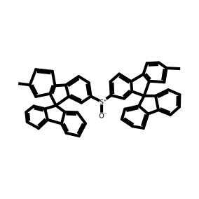 Cc1ccc2c(c1)C1(c3ccccc3-c3ccccc31)c1cc([S+]([O-])c3ccc4c(c3)C3(c5ccccc5-c5ccccc53)c3cc(C)ccc3-4)ccc1-2